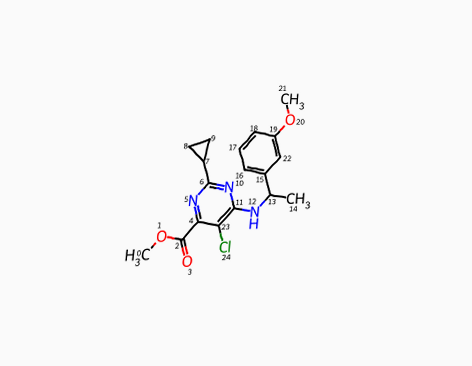 COC(=O)c1nc(C2CC2)nc(NC(C)c2cccc(OC)c2)c1Cl